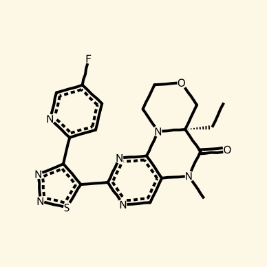 CC[C@@]12COCCN1c1nc(-c3snnc3-c3ccc(F)cn3)ncc1N(C)C2=O